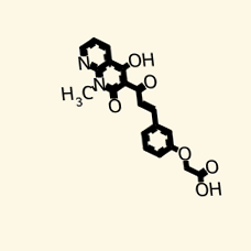 Cn1c(=O)c(C(=O)C=Cc2cccc(OCC(=O)O)c2)c(O)c2cccnc21